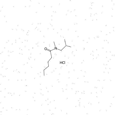 CCCCCC(=O)N(C)CC(C)C.Cl